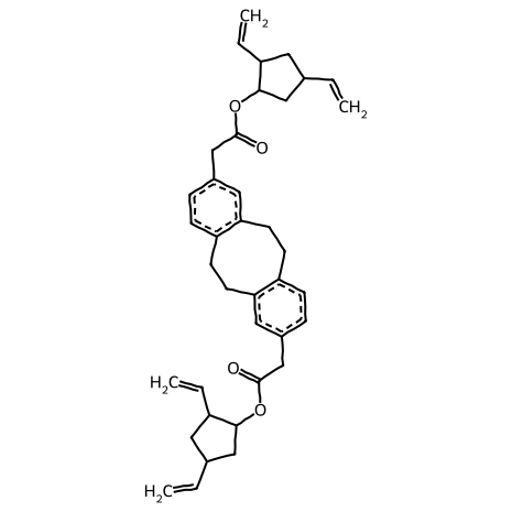 C=CC1CC(C=C)C(OC(=O)Cc2ccc3c(c2)CCc2ccc(CC(=O)OC4CC(C=C)CC4C=C)cc2CC3)C1